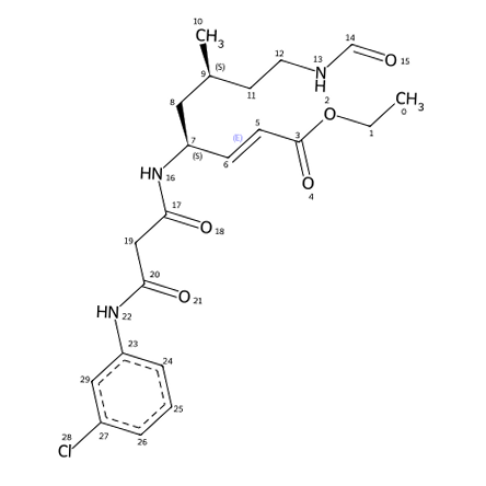 CCOC(=O)/C=C/[C@H](C[C@@H](C)CCNC=O)NC(=O)CC(=O)Nc1cccc(Cl)c1